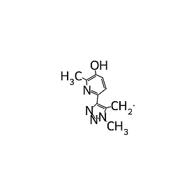 [CH2]c1c(-c2ccc(O)c(C)n2)nnn1C